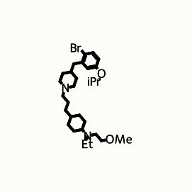 CCN(CCOC)C1CCC(CCCN2CCC(Cc3cc(OC(C)C)ccc3Br)CC2)CC1